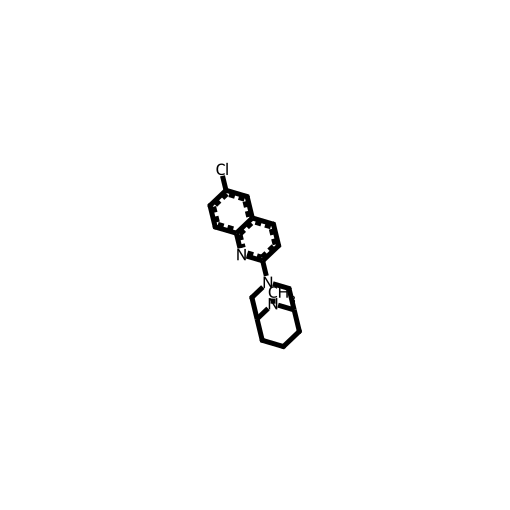 CN1C2CCCC1CN(c1ccc3cc(Cl)ccc3n1)C2